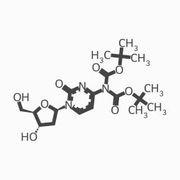 CC(C)(C)OC(=O)N(C(=O)OC(C)(C)C)c1ccn([C@H]2C[C@H](O)[C@@H](CO)O2)c(=O)n1